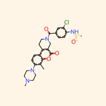 Cc1c(N2CCN(C)CC2)ccc2c3c(c(=O)oc12)CN(C(=O)c1ccc(N[S+](C)[O-])c(Cl)c1)CC3